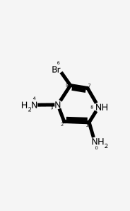 NC1=CN(N)C(Br)=CN1